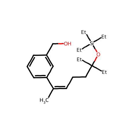 CCC(CC)(CC/C=C(/C)c1cccc(CO)c1)O[Si](CC)(CC)CC